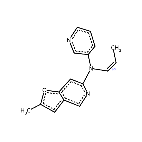 C/C=C\N(c1cccnc1)c1cc2oc(C)cc2cn1